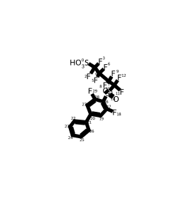 O=S(=O)(O)C(F)(F)C(F)(F)C(F)(F)C(F)(F)S(=O)(=O)c1c(F)cc(-c2ccccc2)cc1F